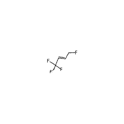 FC/C=C/C(F)(F)F